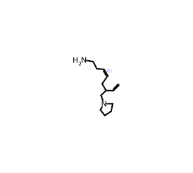 C=CC(C/C=C\CCN)CN1CCCC1